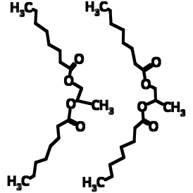 CCCCCCCC(=O)OCC(C)OC(=O)CCCCCCC.CCCCCCCC(=O)OCC(C)OC(=O)CCCCCCC